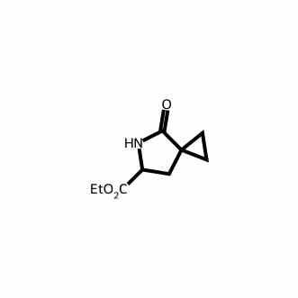 CCOC(=O)C1CC2(CC2)C(=O)N1